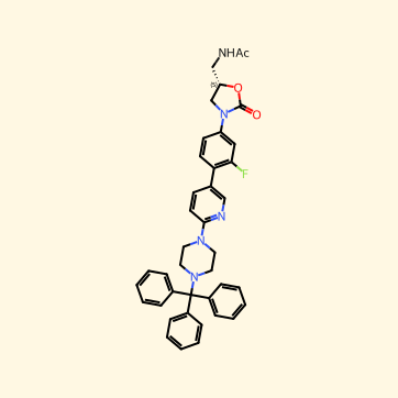 CC(=O)NC[C@H]1CN(c2ccc(-c3ccc(N4CCN(C(c5ccccc5)(c5ccccc5)c5ccccc5)CC4)nc3)c(F)c2)C(=O)O1